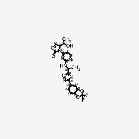 C[C@H](Nc1nccc(N2C(=O)OCC2[C@@H](C)O)n1)c1nc(-c2ccc3c(c2)OC(F)(F)O3)no1